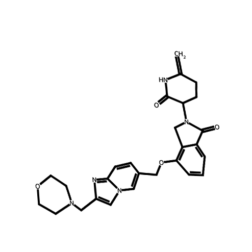 C=C1CCC(N2Cc3c(OCc4ccc5nc(CN6CCOCC6)cn5c4)cccc3C2=O)C(=O)N1